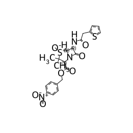 CC1(C)[C@H](C(=O)OCc2ccc([N+](=O)[O-])cc2)N2C(=O)[C@@H](NC(=O)Cc3cccs3)[C@H]2[S+]1[O-]